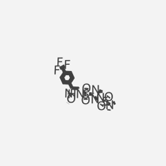 CO/N=C(\CNS(=O)(=O)c1ncn(S(=O)(=O)N(C)C)n1)c1ccc(C(F)(F)F)cc1